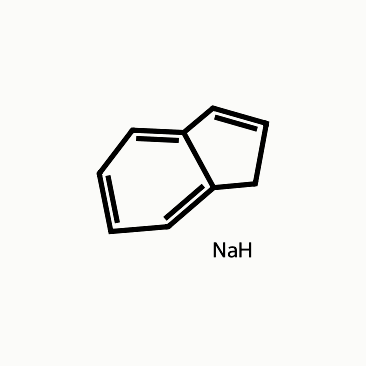 C1=Cc2ccccc2C1.[NaH]